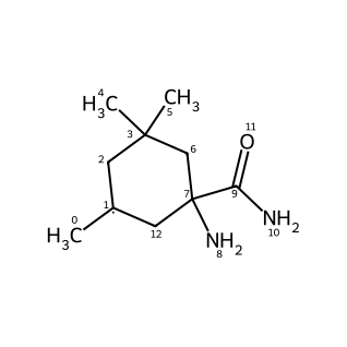 C[C]1CC(C)(C)CC(N)(C(N)=O)C1